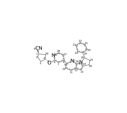 N#C[C@@H]1CC[C@@H](Oc2cc(-c3ccc4cc5n(c4n3)C(c3ccccc3)CC5)ccn2)C1